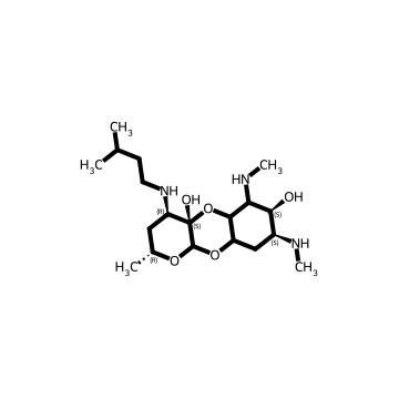 CNC1C2O[C@]3(O)C(OC2C[C@H](NC)[C@@H]1O)O[C@H](C)C[C@H]3NCCC(C)C